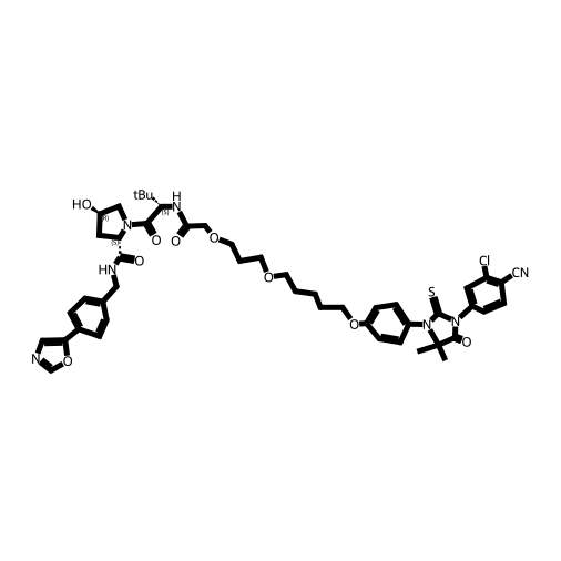 CC(C)(C)[C@H](NC(=O)COCCCOCCCCCOc1ccc(N2C(=S)N(c3ccc(C#N)c(Cl)c3)C(=O)C2(C)C)cc1)C(=O)N1C[C@H](O)C[C@H]1C(=O)NCc1ccc(-c2cnco2)cc1